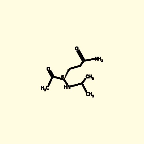 CC(=O)[C@H](CCC(N)=O)NC(C)C